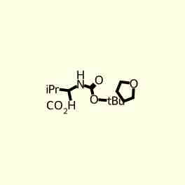 C1CCOC1.CC(C)C(NC(=O)OC(C)(C)C)C(=O)O